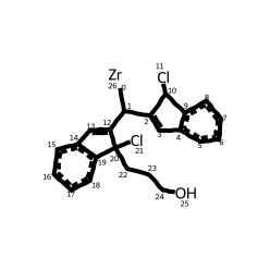 CC(C1=Cc2ccccc2C1Cl)C1=Cc2ccccc2C1(Cl)CCCO.[Zr]